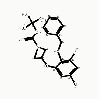 CC(C)(C)OC(=O)N1CC(Oc2cc(Cl)cc(F)c2OCc2ccccc2)C1